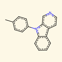 Cc1ccc(-n2c3ccccc3c3ccncc32)cc1